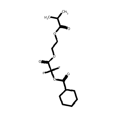 CC(C)C(=O)OCCOC(=O)C(F)(F)OC(=O)C1CCCCC1